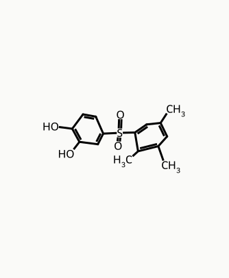 Cc1cc(C)c(C)c(S(=O)(=O)c2ccc(O)c(O)c2)c1